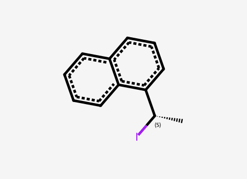 C[C@H](I)c1cccc2ccccc12